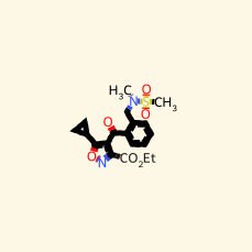 CCOC(=O)c1noc(C2CC2)c1C(=O)c1ccccc1CN(C)S(C)(=O)=O